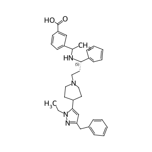 CCn1nc(Cc2ccccc2)cc1C1CCN(CC[C@H](NC(C)c2cccc(C(=O)O)c2)c2ccccc2)CC1